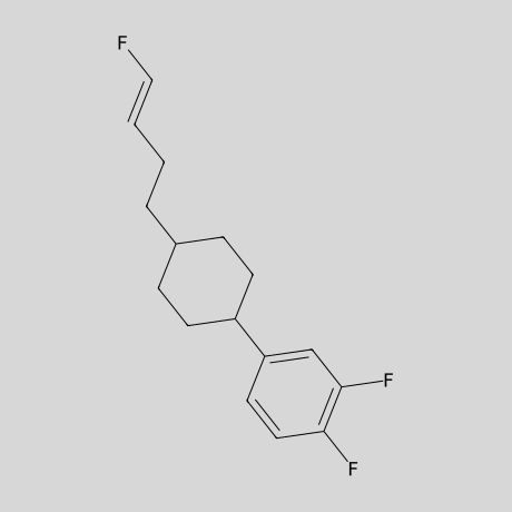 FC=CCCC1CCC(c2ccc(F)c(F)c2)CC1